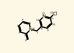 C=C1C=CC=CN1Cc1ccc(Cl)nc1